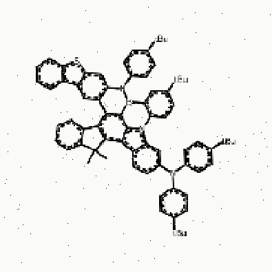 CC(C)(C)c1ccc(N2B3c4cc(C(C)(C)C)ccc4-n4c5cc(N(c6ccc(C(C)(C)C)cc6)c6ccc(C(C)(C)C)cc6)ccc5c5c6c(c(c3c54)-c3cc4c(cc32)sc2ccccc24)-c2ccccc2C6(C)C)cc1